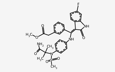 COC(=O)Cc1cccc(/C(Nc2ccc(N(C(C)(C)C(N)=O)S(C)(=O)=O)cc2)=C2/C(=O)Nc3cc(F)ccc32)c1